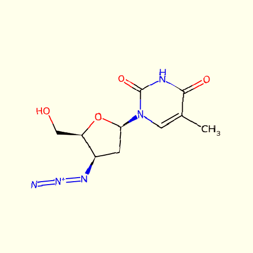 Cc1cn([C@H]2C[C@@H](N=[N+]=[N-])[C@@H](CO)O2)c(=O)[nH]c1=O